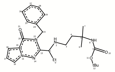 CCC(NCCC(C)(C)NC(=O)OC(C)(C)C)c1nn2cccc2c(=O)n1Cc1ccccc1